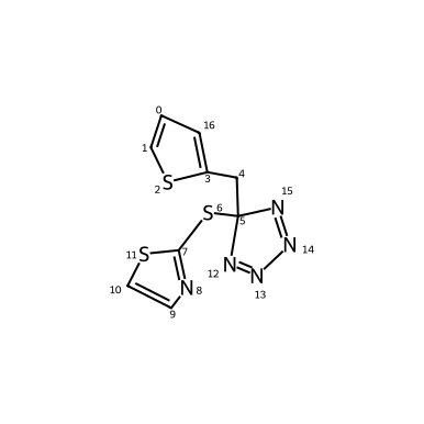 c1csc(CC2(Sc3nccs3)N=NN=N2)c1